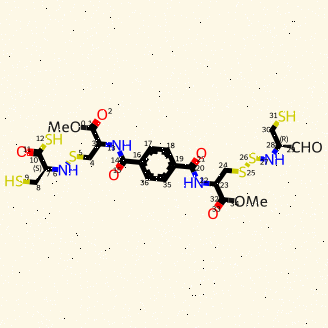 COC(=O)C(CSN[C@@H](CS)C(=O)S)NC(=O)c1ccc(C(=O)NC(CSSN[C@H](C=O)CS)C(=O)OC)cc1